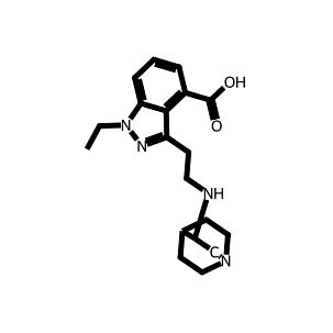 CCn1nc(CCNC2CN3CCC2CC3)c2c(C(=O)O)cccc21